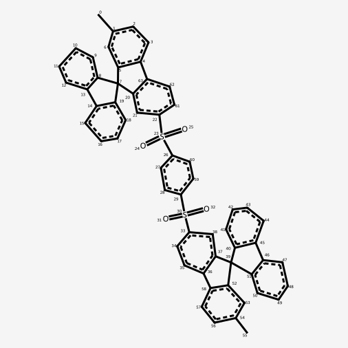 Cc1ccc2c(c1)C1(c3ccccc3-c3ccccc31)c1cc(S(=O)(=O)c3ccc(S(=O)(=O)c4ccc5c(c4)C4(c6ccccc6-c6ccccc64)c4cc(C)ccc4-5)cc3)ccc1-2